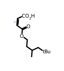 CC(CCOC(=O)/C=C\C(=O)O)CC(C)(C)C